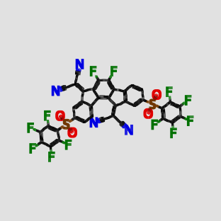 N#CC(C#N)=C1c2cc(S(=O)(=O)c3c(F)c(F)c(F)c(F)c3F)ccc2-c2c1c(F)c(F)c1c2C(=C(C#N)C#N)c2cc(S(=O)(=O)c3c(F)c(F)c(F)c(F)c3F)ccc2-1